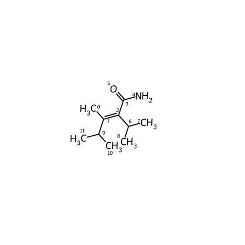 CC(=C(C(N)=O)C(C)C)C(C)C